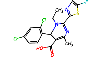 CCN1C(c2ncc(F)s2)=NC(C)=C(C(=O)O)C1c1ccc(Cl)cc1Cl